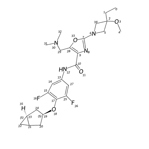 CCC1(OC)CN(c2nc(C(=O)Nc3cc(F)c(O[C@H]4CC5C[C@H]5C4)c(F)c3)c(CN(C)C)o2)C1